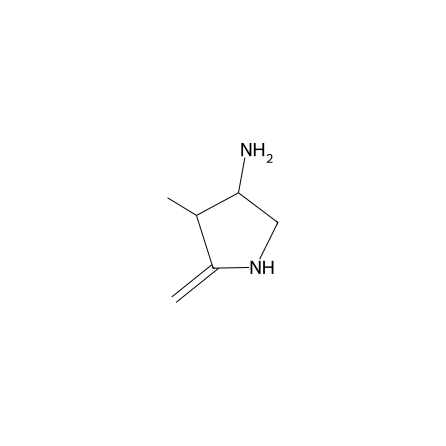 C=C1NCC(N)C1C